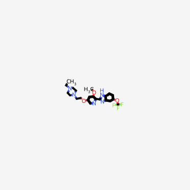 CCN1CCN(CCOc2cnc(-c3nc4cc(OC(F)(F)F)ccc4[nH]3)c(OC)c2)CC1